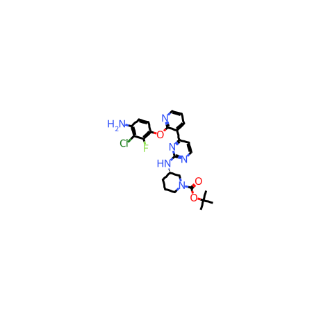 CC(C)(C)OC(=O)N1CCC[C@H](Nc2nccc(-c3cccnc3Oc3ccc(N)c(Cl)c3F)n2)C1